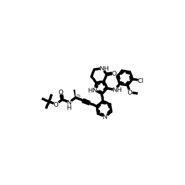 COc1c(Cl)cccc1Nc1c(-c2ccncc2C#C[C@H](C)NC(=O)OC(C)(C)C)[nH]c2c1C(=O)NCC2